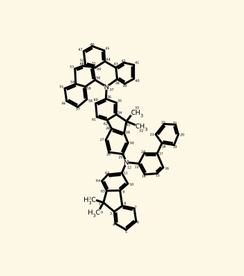 CC1(C)c2ccccc2-c2cc(N(c3cccc(-c4ccccc4)c3)c3ccc4c(c3)C(C)(C)c3cc(N(c5ccccc5-c5ccccc5)c5cccc6ccccc56)ccc3-4)ccc21